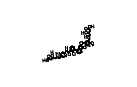 COc1nc(O[C@H]2CCc3c(-c4cccc(C(=O)Nc5cnc(CNCC(O)CC(=O)O)cn5)c4Cl)cccc32)c(Cl)cc1CNCC(O)CC(=O)O